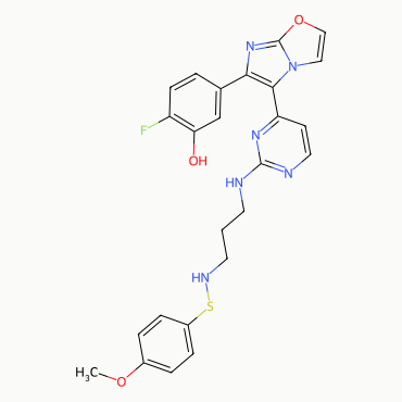 COc1ccc(SNCCCNc2nccc(-c3c(-c4ccc(F)c(O)c4)nc4occn34)n2)cc1